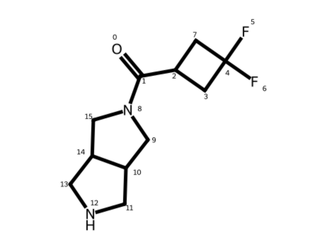 O=C(C1CC(F)(F)C1)N1CC2CNCC2C1